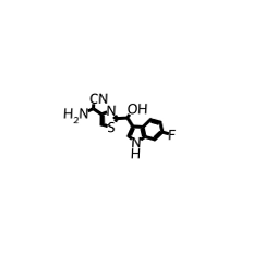 N#CC(N)c1csc(C(O)c2c[nH]c3cc(F)ccc23)n1